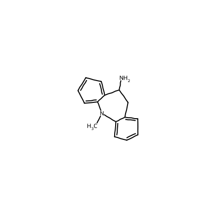 CN1c2ccccc2CC(N)c2ccccc21